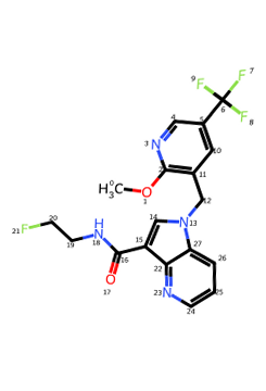 COc1ncc(C(F)(F)F)cc1Cn1cc(C(=O)NCCF)c2ncccc21